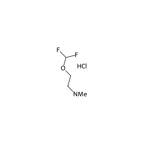 CNCCOC(F)F.Cl